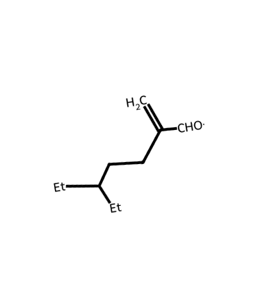 C=C([C]=O)CCC(CC)CC